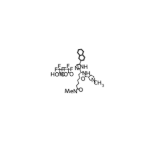 CNC(=O)CCCCC[C@H](NC(=O)[C@H]1CCN(C)C1)c1ncc(-c2ccc3ccccc3c2)[nH]1.O=C(O)C(F)(F)F.O=C(O)C(F)(F)F